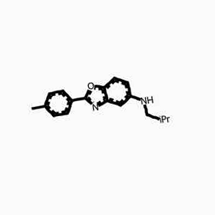 Cc1ccc(-c2nc3cc(NCC(C)C)ccc3o2)cc1